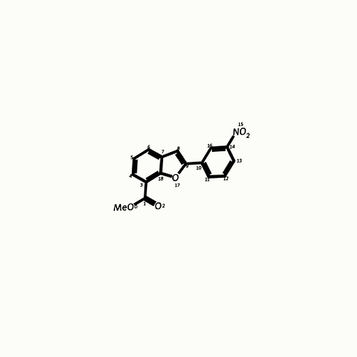 COC(=O)c1cccc2cc(-c3cccc([N+](=O)[O-])c3)oc12